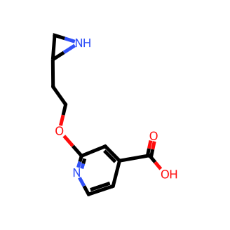 O=C(O)c1ccnc(OCCC2CN2)c1